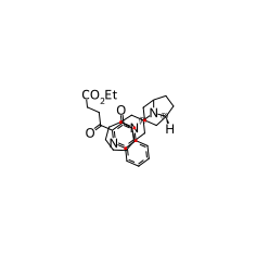 CCOC(=O)CCC(=O)c1nc2ccccc2n([C@@H]2CC3CC[C@H](C2)N3C2CC3CCCCC(C3)C2)c1=O